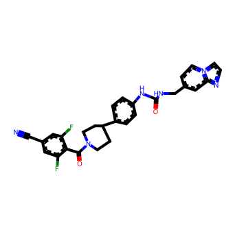 N#Cc1cc(F)c(C(=O)N2CCC(c3ccc(NC(=O)NCc4ccn5ccnc5c4)cc3)CC2)c(F)c1